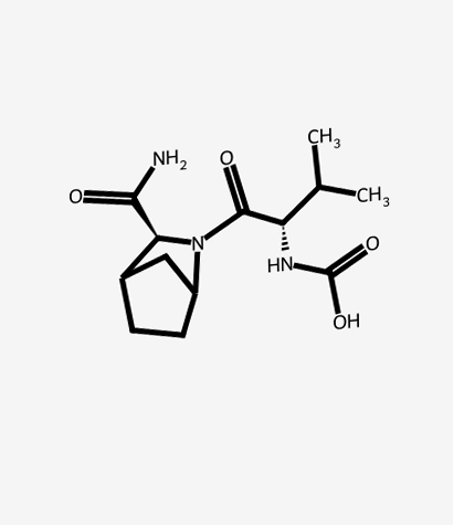 CC(C)[C@H](NC(=O)O)C(=O)N1C2CCC(C2)[C@H]1C(N)=O